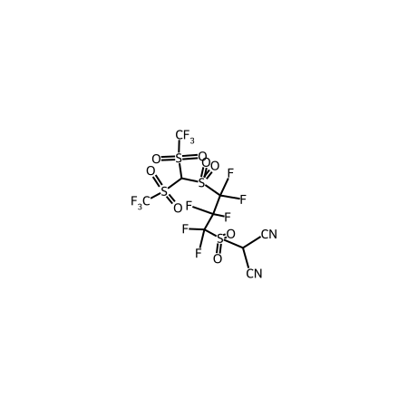 N#CC(C#N)S(=O)(=O)C(F)(F)C(F)(F)C(F)(F)S(=O)(=O)C(S(=O)(=O)C(F)(F)F)S(=O)(=O)C(F)(F)F